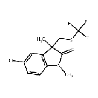 CN1C(=O)C(C)(CSC(F)(F)F)c2cc(Cl)ccc21